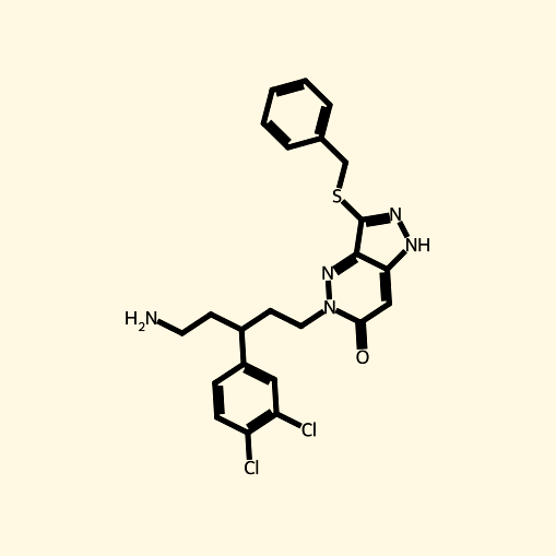 NCCC(CCn1nc2c(SCc3ccccc3)n[nH]c2cc1=O)c1ccc(Cl)c(Cl)c1